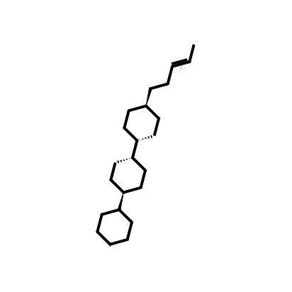 C/C=C/CC[C@H]1CC[C@H]([C@H]2CC[C@H](C3CC[CH]CC3)CC2)CC1